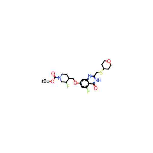 CC(C)(C)OC(=O)N1CCC(COc2cc(F)c3c(=O)[nH]c(CSC4CCOCC4)nc3c2)C(F)C1